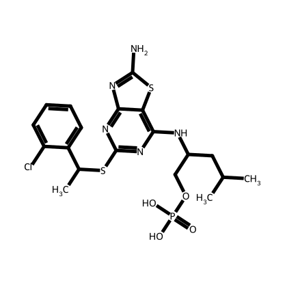 CC(C)CC(COP(=O)(O)O)Nc1nc(SC(C)c2ccccc2Cl)nc2nc(N)sc12